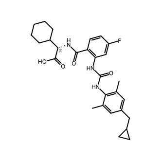 Cc1cc(CC2CC2)cc(C)c1NC(=O)Nc1cc(F)ccc1C(=O)N[C@H](C(=O)O)C1CCCCC1